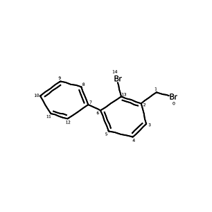 BrCc1cccc(-c2ccccc2)c1Br